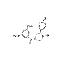 CCN1CCN(C(=O)c2cc(OC)cc(OC)c2)CC1c1ccc(Cl)cc1